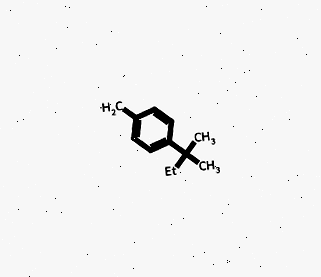 [CH2]c1ccc(C(C)(C)CC)cc1